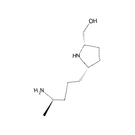 C[C@@H](N)CCC[C@H]1CC[C@@H](CO)N1